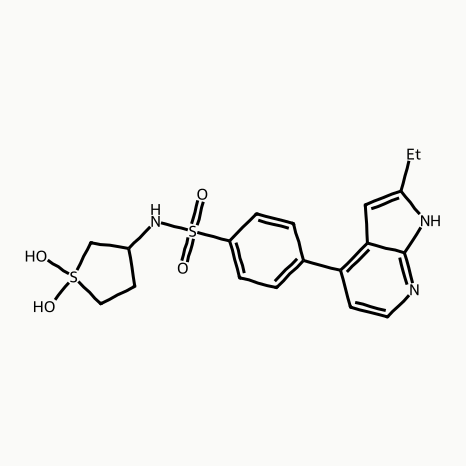 CCc1cc2c(-c3ccc(S(=O)(=O)NC4CCS(O)(O)C4)cc3)ccnc2[nH]1